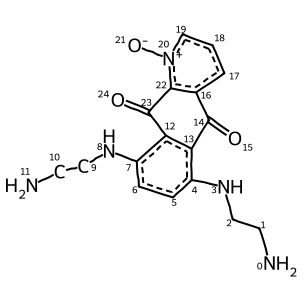 NCCNc1ccc(NCCN)c2c1C(=O)c1ccc[n+]([O-])c1C2=O